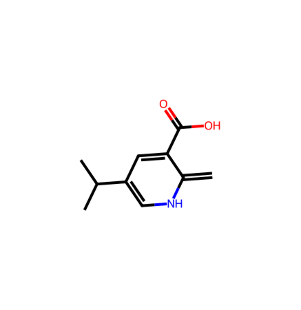 C=C1NC=C(C(C)C)C=C1C(=O)O